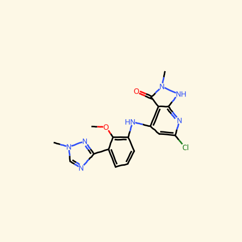 COc1c(Nc2cc(Cl)nc3[nH]n(C)c(=O)c23)cccc1-c1ncn(C)n1